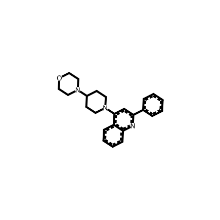 c1ccc(-c2cc(N3CCC(N4CCOCC4)CC3)c3ccccc3n2)cc1